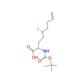 C=CCCC(F)CCC(NC(=O)OC(C)(C)C)C(=O)O